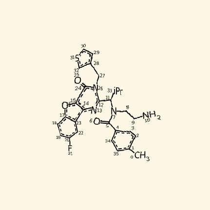 Cc1ccc(C(=O)N(CCN)[C@@H](c2nc3c(oc4ccc(F)cc43)c(=O)n2Cc2ccsc2)C(C)C)cc1